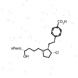 CCCCC[C@@H](O)CCCN1CC[C@@H](Cl)[C@@H]1CCc1ccc(C(=O)O)cc1